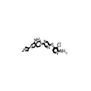 CN1CC(N2C[C@@H](N)C3(CCN(c4cnc(Sc5ccnc(N)c5Cl)cn4)CC3)C2)C1